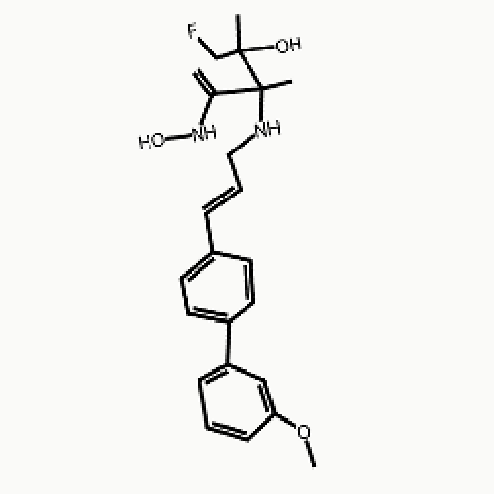 C=C(NO)C(C)(NC/C=C/c1ccc(-c2cccc(OC)c2)cc1)C(C)(O)CF